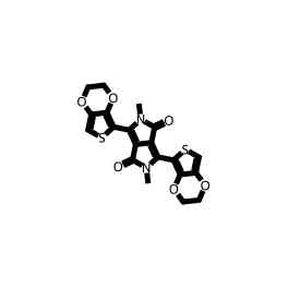 CN1C(=O)C2=C(c3scc4c3OCCO4)N(C)C(=O)C2=C1c1scc2c1OCCO2